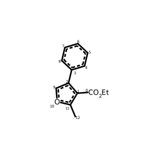 CCOC(=O)c1c(-c2ccccc2)coc1C